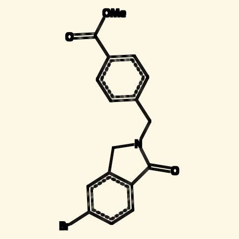 COC(=O)c1ccc(CN2Cc3cc(Br)ccc3C2=O)cc1